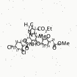 CCOC(=O)c1c(C)nn2cc(NS(=O)(=O)c3ccc(Cl)cc3Cl)c(Oc3ccc(CC(=O)OC)cc3OC)cc12